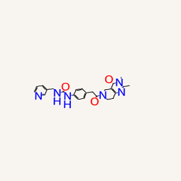 Cc1nc2c(c(=O)n1C)CN(C(=O)Cc1ccc(NC(=O)NCc3cccnc3)cc1)CC2